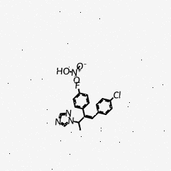 CC(/C(=C/c1ccc(Cl)cc1)c1ccc(F)cc1)n1cncn1.O=[N+]([O-])O